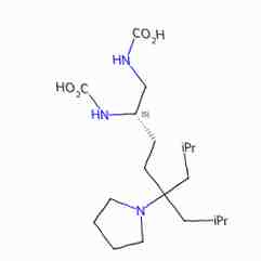 CC(C)CC(CC[C@@H](CNC(=O)O)NC(=O)O)(CC(C)C)N1CCCC1